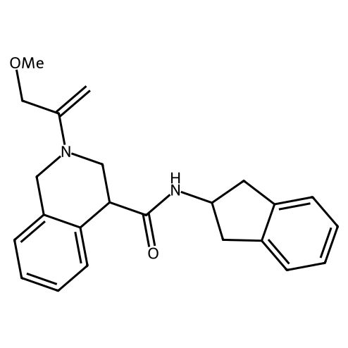 C=C(COC)N1Cc2ccccc2C(C(=O)NC2Cc3ccccc3C2)C1